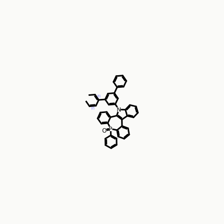 C/C=C\C(=C/C)c1cc(-c2ccccc2)cc(-n2c3c(c4ccccc42)-c2ccccc2P(=O)(c2ccccc2)c2ccccc2-3)c1